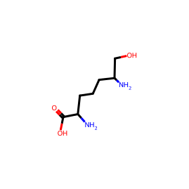 NC(CO)CCCC(N)C(=O)O